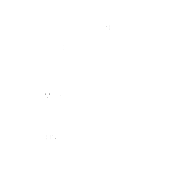 COCC1(C(=O)c2cc(F)c3[nH]ccc3c2)CCCNC1